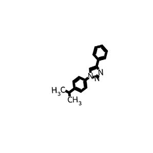 CC(C)c1ccc(-n2cc(-c3ccccc3)nn2)cc1